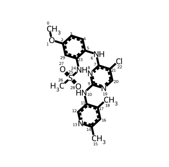 COc1ccc(Nc2nc(Nc3cnc(C)cc3C)ncc2Cl)c(NS(C)(=O)=O)c1